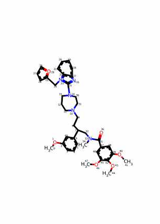 COc1cccc(C(CCN2CCCN(c3nc4ccccc4n3Cc3ccco3)CC2)CN(C)C(=O)c2cc(OC)c(OC)c(OC)c2)c1